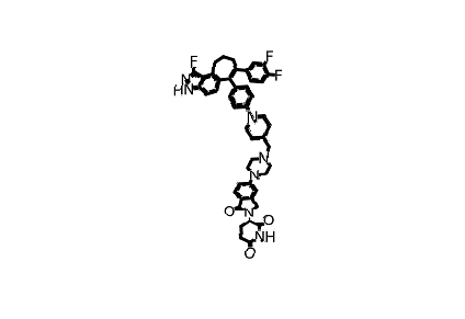 O=C1CC[C@H](N2Cc3cc(N4CCN(CC5CCN(c6ccc(C7=C(c8ccc(F)c(F)c8)CCCc8c7ccc7[nH]nc(F)c87)cc6)CC5)CC4)ccc3C2=O)C(=O)N1